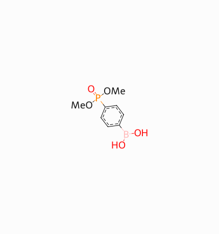 COP(=O)(OC)c1ccc(B(O)O)cc1